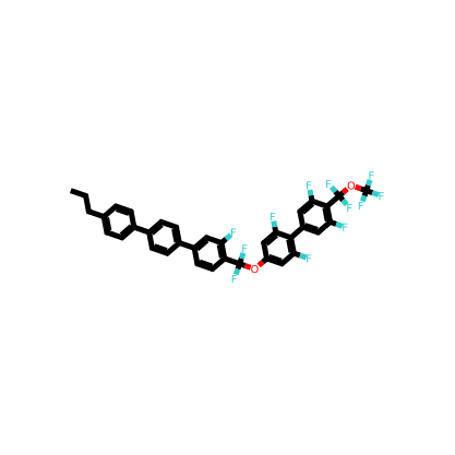 CCCc1ccc(-c2ccc(-c3ccc(C(F)(F)Oc4cc(F)c(-c5cc(F)c(C(F)(F)OC(F)(F)F)c(F)c5)c(F)c4)c(F)c3)cc2)cc1